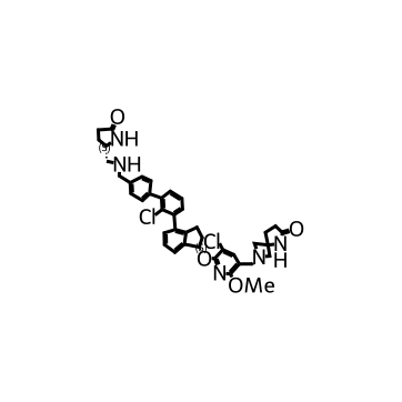 COc1nc(O[C@H]2CCc3c(-c4cccc(-c5ccc(CNC[C@@H]6CCC(=O)N6)cc5)c4Cl)cccc32)c(Cl)cc1CN1CC2(CCC(=O)N2)C1